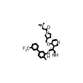 Cc1ccc(-c2cccc(C(F)(F)F)c2)cc1N/C=C(\C=N)C1C=NC=CC1OCC1CCN(C(=O)CN(C)C)C1